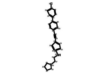 Clc1ccc(-c2ccc(C#Cc3ccc(NCCN4CCCC4)cc3)nc2)cc1